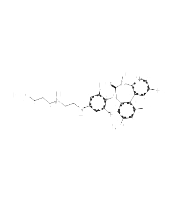 CCN1C(=O)N(c2c(F)cc(NCCNCCCC(=O)O)cc2F)c2cc(C#N)cc(F)c2-c2cc(F)cnc21